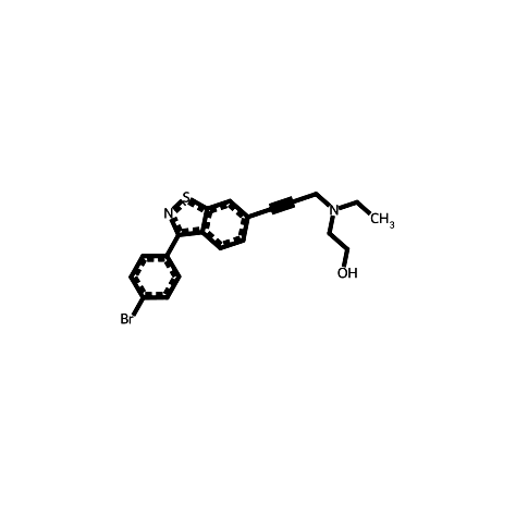 CCN(CC#Cc1ccc2c(-c3ccc(Br)cc3)nsc2c1)CCO